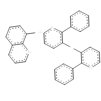 Oc1cccc2cccnc12.c1ccc(-c2nccc[c]2[Ir][c]2cccnc2-c2ccccc2)cc1